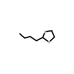 CCCC[C]1SCCS1